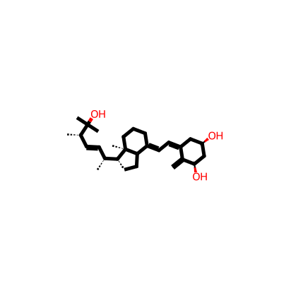 C=C1C(=CC=C2CCC[C@@]3(C)C2CC[C@@H]3[C@H](C)C=C[C@H](C)C(C)(C)O)C[C@@H](O)C[C@H]1O